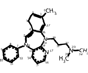 CC1=CCC2=CN(c3ccccc3)c3cccnc3N(CCCN(C)C)C2=C1